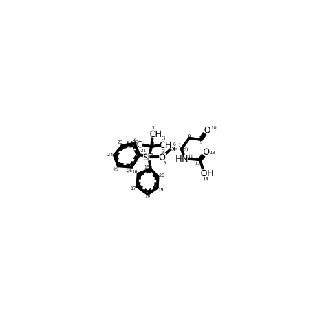 CC(C)(C)[Si](OC[C@H](CC=O)NC(=O)O)(c1ccccc1)c1ccccc1